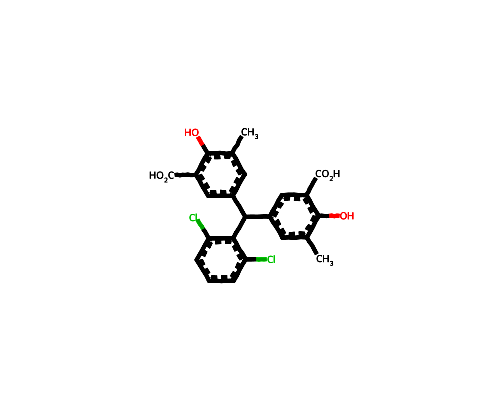 Cc1cc(C(c2cc(C)c(O)c(C(=O)O)c2)c2c(Cl)cccc2Cl)cc(C(=O)O)c1O